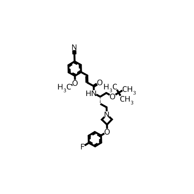 COc1ccc(C#N)cc1/C=C/C(=O)N[C@@H](CCN1CC(Oc2ccc(F)cc2)C1)COC(C)(C)C